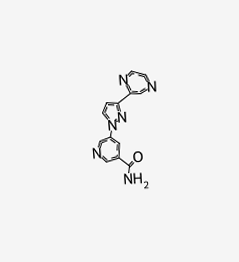 NC(=O)c1cncc(-n2ccc(-c3cnccn3)n2)c1